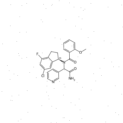 COc1ccccc1C(=O)N(C(C(N)=O)c1cccnc1)[C@@H]1CCc2c(F)cc(Cl)cc21